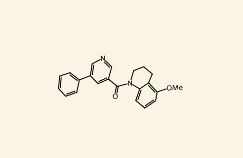 COc1cccc2c1CCCN2C(=O)c1cncc(-c2ccccc2)c1